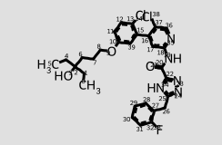 CCC(O)(CC)CCCOc1ccc(Cl)c(-c2cc(NC(=O)c3nnc(Cc4ccccc4F)[nH]3)ncc2Cl)c1